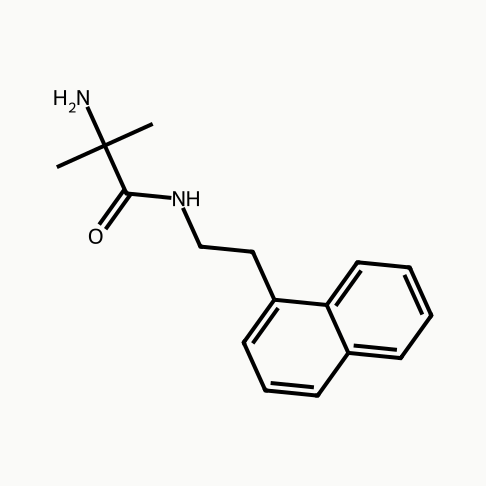 CC(C)(N)C(=O)NCCc1cccc2ccccc12